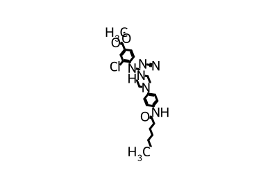 CCCCCCC(=O)Nc1ccc(N2CCN(/C(=N\C#N)Nc3ccc(C(=O)OC)cc3Cl)CC2)cc1